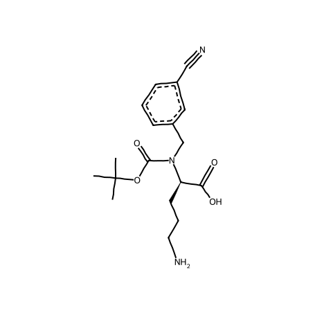 CC(C)(C)OC(=O)N(Cc1cccc(C#N)c1)[C@H](CCCN)C(=O)O